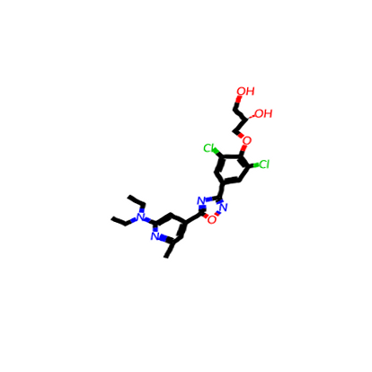 CCN(CC)c1cc(-c2nc(-c3cc(Cl)c(OC[C@@H](O)CO)c(Cl)c3)no2)cc(C)n1